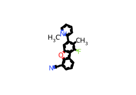 Cc1c(-c2cccc[n+]2C)cc2oc3c(C#N)cccc3c2c1F